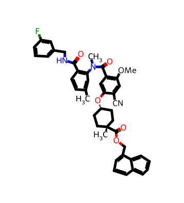 COc1cc(C#N)c(O[C@H]2CC[C@@](C)(C(=O)OCc3cccc4ccccc34)CC2)cc1C(=O)N(C)c1cc(C)ccc1C(=O)NCc1cccc(F)c1